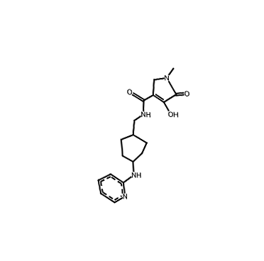 CN1CC(C(=O)NCC2CCC(Nc3ccccn3)CC2)=C(O)C1=O